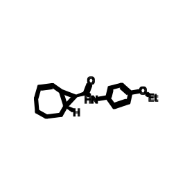 CCOc1ccc(NC(=O)[C@@H]2C3/C=C\CCCC[C@H]32)cc1